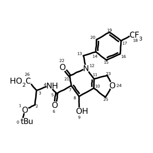 CC(C)(C)OCC(NC(=O)c1c(O)c2c(n(Cc3ccc(C(F)(F)F)cc3)c1=O)COC2)C(=O)O